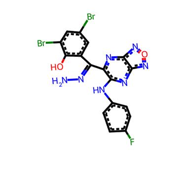 NN=C(c1cc(Br)cc(Br)c1O)c1nc2nonc2nc1Nc1ccc(F)cc1